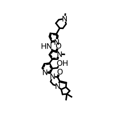 CN1CCC(c2ccc(Nc3cc(-c4ccnc(N5CCN6C(=CC7CC(C)(C)CC76)C5=O)c4CO)cn(C)c3=O)nc2)CC1